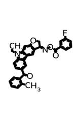 CCn1c2ccc(C(=O)c3ccccc3C)cc2c2cc3c(cc21)OC/C3=N\OC(=O)c1cccc(F)c1